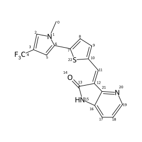 Cn1cc(C(F)(F)F)cc1-c1ccc(C=C2C(=O)Nc3cccnc32)s1